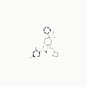 Cc1cc(C)c(N2C[C@]3(CC[C@](c4ccccc4)(N(C)C)CC3)N(CC3CCC3)C2=O)cn1